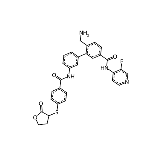 NCc1ccc(C(=O)Nc2ccncc2F)cc1-c1cccc(NC(=O)c2ccc(SC3CCOC3=O)cc2)c1